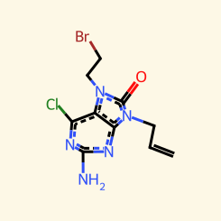 C=CCn1c(=O)n(CCBr)c2c(Cl)nc(N)nc21